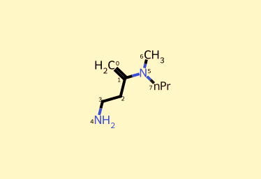 C=C(CCN)N(C)CCC